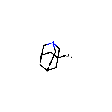 CC12CC3CC(CN(C3)C1)C2